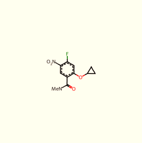 CNC(=O)c1cc([N+](=O)[O-])c(F)cc1OC1CC1